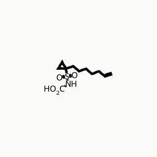 C=CCCCCCC1(S(=O)(=O)NC(=O)O)CC1